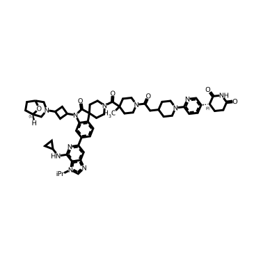 CC(C)n1cnc2cc(-c3ccc4c(c3)N(C3CC(N5CC6CC[C@@H](C5)O6)C3)C(=O)C43CCN(C(=O)C4(C)CCN(C(=O)CC5CCN(c6ccc([C@H]7CCC(=O)NC7=O)cn6)CC5)CC4)CC3)nc(NC3CC3)c21